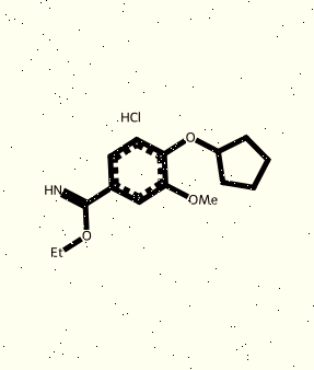 CCOC(=N)c1ccc(OC2CCCC2)c(OC)c1.Cl